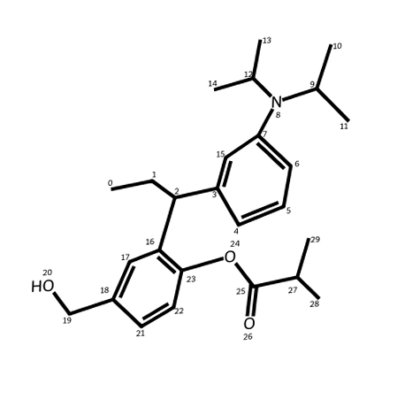 CCC(c1cccc(N(C(C)C)C(C)C)c1)c1cc(CO)ccc1OC(=O)C(C)C